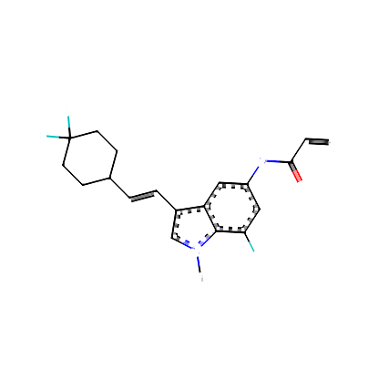 C=CC(=O)Nc1cc(F)c2c(c1)c(/C=C/C1CCC(F)(F)CC1)cn2C(C)C